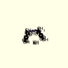 CC1=NN(c2ccc(S(=O)(=O)O)cc2)C(=O)\C1=C/C=C/C=C/c1c(C)nn(-c2ccc(S(=O)(=O)O)cc2)c1O.[KH].[KH]